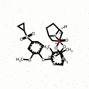 COc1cc(S(=O)(=O)C2CC2)ccc1Oc1ncnc(O[C@H]2CC3CC[C@@H](C2)N3C(=O)OC(C)(C)C)c1C